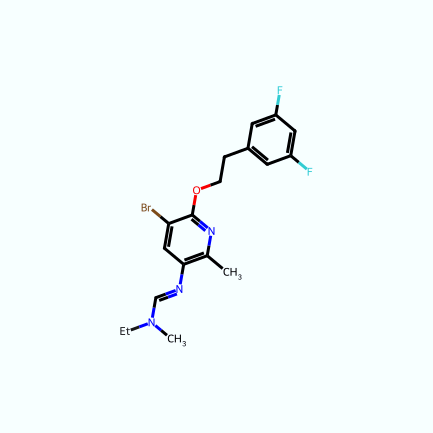 CCN(C)C=Nc1cc(Br)c(OCCc2cc(F)cc(F)c2)nc1C